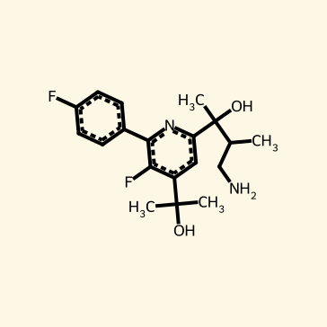 CC(CN)C(C)(O)c1cc(C(C)(C)O)c(F)c(-c2ccc(F)cc2)n1